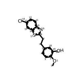 COc1ccc(CCc2nc3ccc(Cl)cc3s2)cc1O